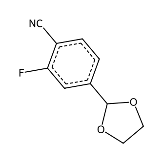 N#Cc1ccc(C2OCCO2)cc1F